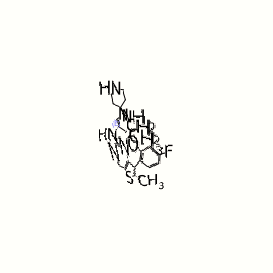 C=C/C(=C\N(N)C1CCNCC1)Nc1ncc2sc(C)c(-c3ccc(F)cc3OC)c2n1